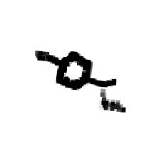 CC(=O)N[C@@H](C)c1ccc(C#N)cc1